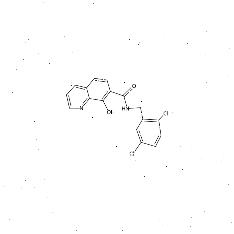 O=C(NCc1cc(Cl)ccc1Cl)c1ccc2cccnc2c1O